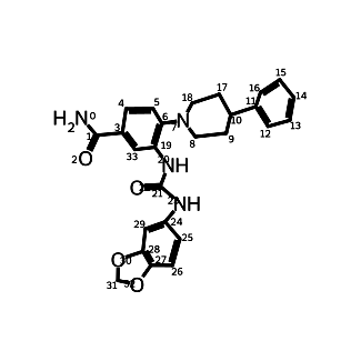 NC(=O)c1ccc(N2CCC(c3ccccc3)CC2)c(NC(=O)Nc2ccc3c(c2)OCO3)c1